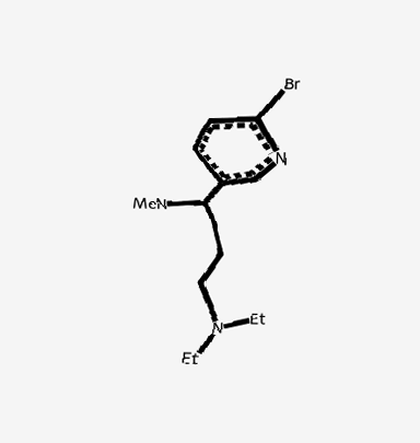 CCN(CC)CCC(NC)c1ccc(Br)nc1